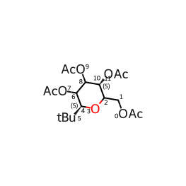 CC(=O)OCC1O[C@@H](C(C)(C)C)C(OC(C)=O)C(OC(C)=O)[C@H]1OC(C)=O